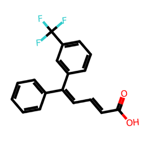 O=C(O)C=CC=C(c1ccccc1)c1cccc(C(F)(F)F)c1